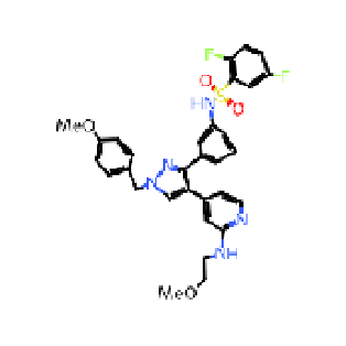 COCCNc1cc(-c2cn(Cc3ccc(OC)cc3)nc2-c2cccc(NS(=O)(=O)c3cc(F)ccc3F)c2)ccn1